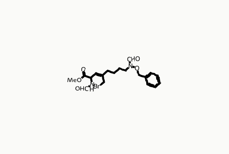 COC(=O)C(C=C(CBr)CCCCN(C=O)OCc1ccccc1)NC=O